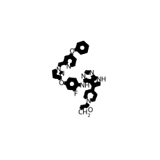 C=CC(=O)N1CCC(c2c[nH]c3ncnc(Nc4ccc(Oc5ccn(Cc6cc(Oc7ccccc7)ccn6)n5)cc4F)c23)CC1